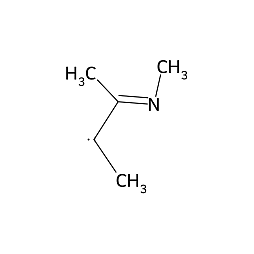 C[CH]C(C)=NC